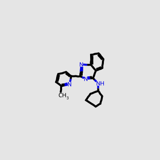 Cc1cccc(-c2nc(NC3CCCCC3)c3ccccc3n2)n1